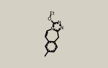 CCOc1nnc2n1C=Cc1cc(C)ccc1C2